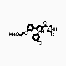 COCCOc1cccc(-c2cc(C(=O)N3CNC(=O)C3)nn2-c2cccc(Cl)c2)c1